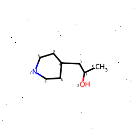 CC(O)CC1CC[N]CC1